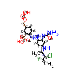 C=C(F)/C(Cl)=C(\C)Nc1ccc(/N=N/c2ccc(SOOO)cc2S(=O)(=O)O)c(NC(N)=O)c1